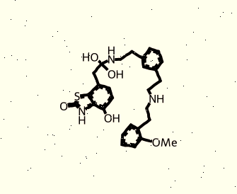 COc1ccccc1CCNCCc1cccc(CCNC(O)(O)Cc2ccc(O)c3[nH]c(=O)sc23)c1